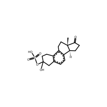 C[C@]12CCc3c(ccc4c3CCC(O)(OS(=O)(=O)O)C4)[C@@H]1CCC2=O